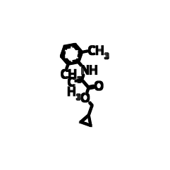 Cc1cccc(C)c1NC(C)C(=O)OCC1CC1